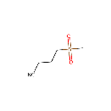 CS(=O)(=O)CCCC#N